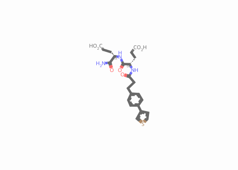 NC(=O)[C@H](CCC(=O)O)NC(=O)[C@H](CCC(=O)O)NC(=O)CCc1ccc(-c2ccsc2)cc1